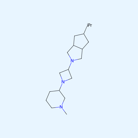 CC(C)C1CC2CN(C3CN(C4CCCN(C)C4)C3)CC2C1